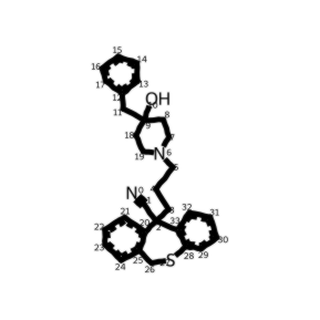 N#CC1(CCCN2CCC(O)(Cc3ccccc3)CC2)c2ccccc2CSc2ccccc21